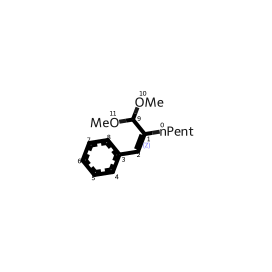 CCCCC/C(=C/c1ccccc1)C(OC)OC